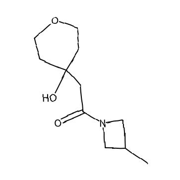 CC1CN(C(=O)CC2(O)CCOCC2)C1